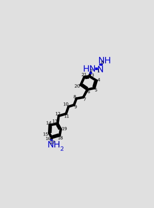 N=NNc1ccc(CCCCCCc2ccc(N)cc2)cc1